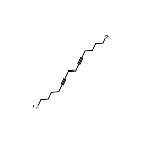 CCCCCC#CC=CC#CCCCCC